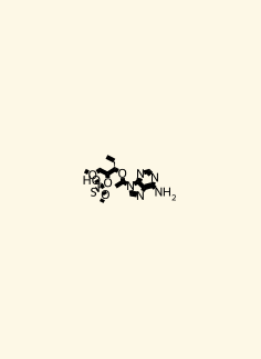 CC[C@H](OC(C)n1cnc2c(N)ncnc21)C(COC)OP(O)(=S)OC